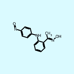 C/C(=N\O)c1ccccc1Nc1ccc(N=O)cc1